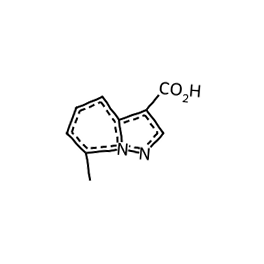 Cc1cccc2c(C(=O)O)cnn12